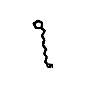 OCCCCCCCCC1CCCC1